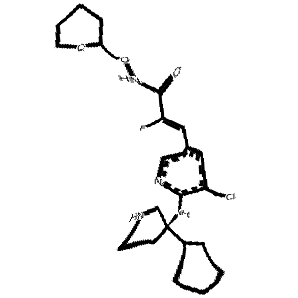 O=C(NOC1CCCCO1)/C(F)=C/c1cnc(N[C@@]2(C3CCCC3)CCNC2)c(Cl)c1